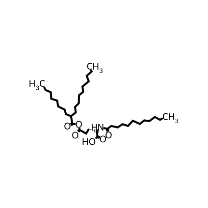 CCCCCCCCCCCC(=O)N[C@@H](CCC(=O)OC(=O)C(CCCCCCCC)CCCCCCCCCC)C(=O)O